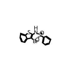 O=S(=O)(Nc1sc2ccccc2c1Br)c1ccccc1